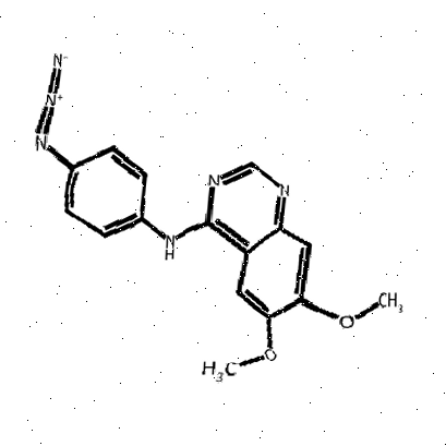 COc1cc2ncnc(Nc3ccc(N=[N+]=[N-])cc3)c2cc1OC